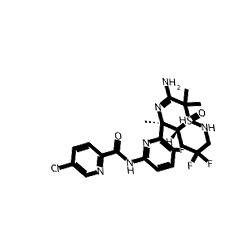 CC1(C)C(N)=N[C@](C)(c2nc(NC(=O)c3ccc(Cl)cn3)ccc2F)[C@H]2CC(F)(F)CN[SH]21=O